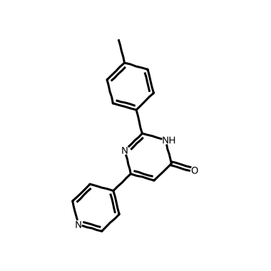 Cc1ccc(-c2nc(-c3ccncc3)cc(=O)[nH]2)cc1